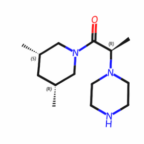 C[C@@H]1C[C@H](C)CN(C(=O)[C@@H](C)N2CCNCC2)C1